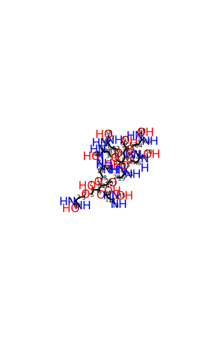 N=C(CCOCC(O)C(OCCC(=N)NO)C(OCCC(=N)NO)C(O)COCCC(=N)NOC(COCCC(=N)NO)C(OCCC(=N)NO)C(OCCC(=N)NO)C(CO)OCCC(=N)NO)NO